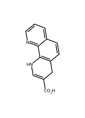 O=C(O)C1=CNc2c(ccc3cccnc23)C1